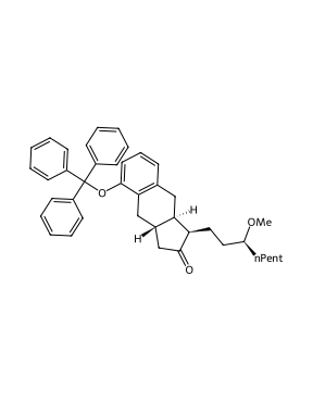 CCCCC[C@@H](CC[C@H]1C(=O)C[C@@H]2Cc3c(cccc3OC(c3ccccc3)(c3ccccc3)c3ccccc3)C[C@H]21)OC